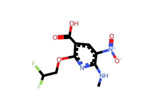 CNc1nc(OCC(F)F)c(C(=O)O)cc1[N+](=O)[O-]